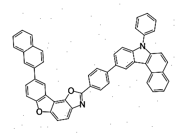 c1ccc(-n2c3ccc(-c4ccc(-c5nc6ccc7oc8ccc(-c9ccc%10ccccc%10c9)cc8c7c6o5)cc4)cc3c3c4ccccc4ccc32)cc1